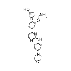 NC(=O)C1C[C@H](O)CN1c1ccc(-c2ccnc(Nc3ccc(N4CCOCC4)cc3)n2)cc1